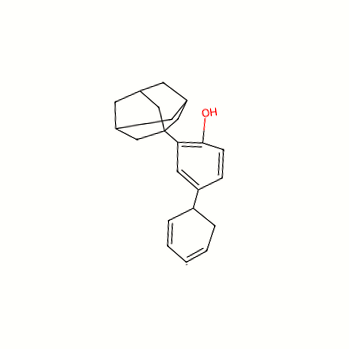 Oc1ccc(C2C=C[C]=CC2)cc1C12CC3CC(CC(C3)C1)C2